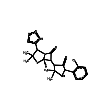 CC1(C)S[C@H]2C(N3C(=O)C(c4ccccc4Cl)NC3(C)C)C(=O)N2C1c1nnn[nH]1